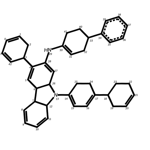 C1=CCC(C2=CC3C4C=CC=CC4N(C4=CC=C(C5CC=CCC5)CC4)C3C=C2NC2=CCC(c3ccccc3)CC2)C=C1